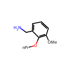 CCCOc1c(CN)cccc1OC